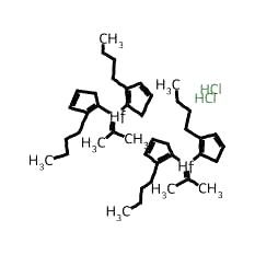 CCCCC1=[C]([Hf]([C]2=C(CCCC)C=CC2)=[C](C)C)CC=C1.CCCCC1=[C]([Hf]([C]2=C(CCCC)C=CC2)=[C](C)C)CC=C1.Cl.Cl